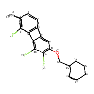 CCCc1ccc2c(c1F)-c1c-2cc(OCC2CCCCC2)c(F)c1F